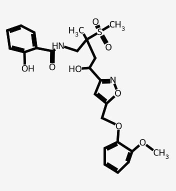 COc1ccccc1OCc1cc(C(O)CC(C)(CNC(=O)c2ccccc2O)S(C)(=O)=O)no1